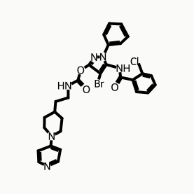 O=C(NCCC1CCN(c2ccncc2)CC1)Oc1nn(-c2ccccc2)c(NC(=O)c2ccccc2Cl)c1Br